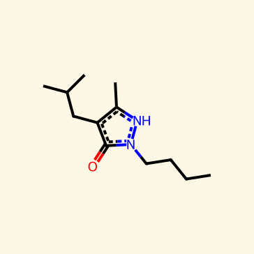 CCCCn1[nH]c(C)c(CC(C)C)c1=O